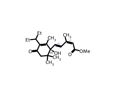 CCC(CC)C1=C(C)[C@](O)(/C=C/C(C)=C\C(=O)OC)C(C)(C)CC1=O